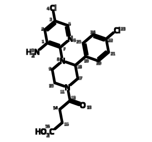 Nc1cc(Cl)cnc1N1CCN(C(=O)CCC(=O)O)CC1c1ccc(Cl)cc1